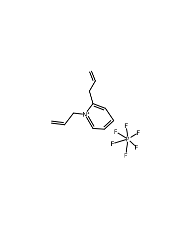 C=CCc1cccc[n+]1CC=C.F[P-](F)(F)(F)(F)F